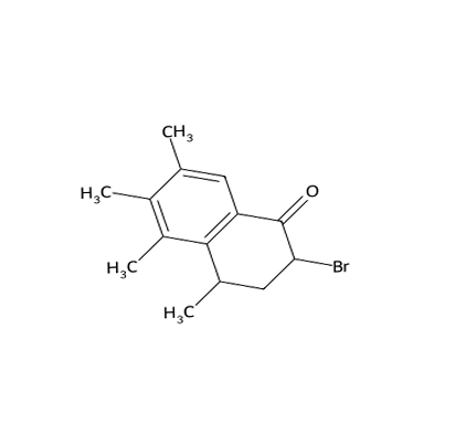 Cc1cc2c(c(C)c1C)C(C)CC(Br)C2=O